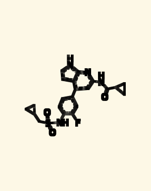 O=C(Nc1cc(-c2ccc(NS(=O)(=O)CC3CC3)c(F)c2)c2cc[nH]c2n1)C1CC1